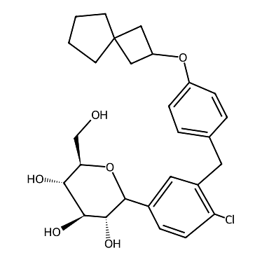 OC[C@H]1OC(c2ccc(Cl)c(Cc3ccc(OC4CC5(CCCC5)C4)cc3)c2)[C@H](O)[C@@H](O)[C@@H]1O